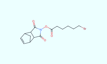 O=C(CCCCCBr)ON1C(=O)C2C3C=CC(C3)C2C1=O